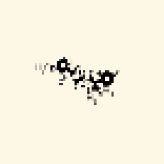 COc1ccnc(C(=O)NC(C)C(=O)OC(C)C(c2ccc(F)cc2C)C(C)C)c1O